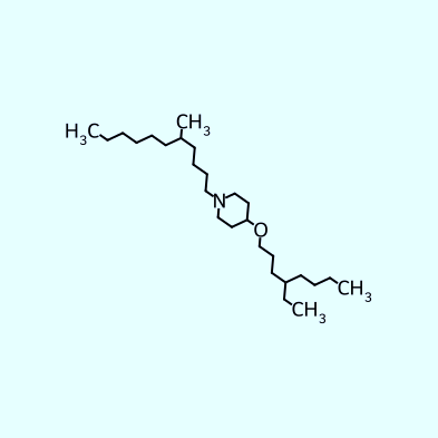 CCCCCCC(C)CCCCN1CCC(OCCCC(CC)CCCC)CC1